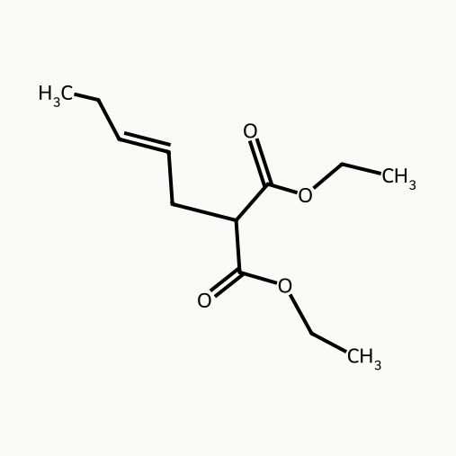 CCC=CCC(C(=O)OCC)C(=O)OCC